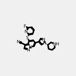 N#Cc1cnn2cc(-c3cnn([C@H]4CCCNC4)c3)cc(Sc3cccc(F)n3)c12